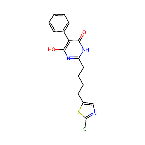 O=c1[nH]c(CCCCc2cnc(Cl)s2)nc(O)c1-c1ccccc1